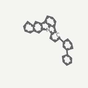 c1ccc(-c2cccc(-c3ccc4c(c3)c3cccc5c6cc7ccccc7cc6n4c35)c2)cc1